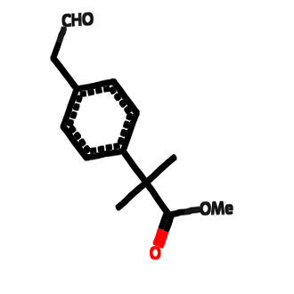 COC(=O)C(C)(C)c1ccc(CC=O)cc1